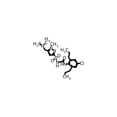 CCCc1cc(Cl)cc(CCC)c1NC(=O)NS(=O)(=O)c1cc(CN(C)C)n(C)n1